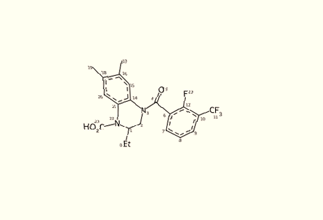 CCC1CN(C(=O)c2cccc(C(F)(F)F)c2F)c2cc(C)c(C)cc2N1C(=O)O